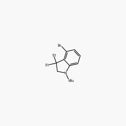 CCC1(CC)CN(C(C)(C)C)c2cccc(Br)c21